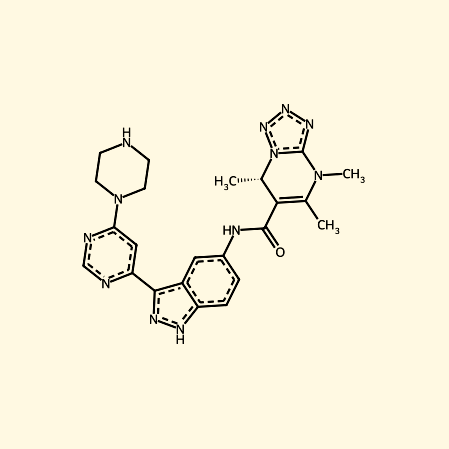 CC1=C(C(=O)Nc2ccc3[nH]nc(-c4cc(N5CCNCC5)ncn4)c3c2)[C@H](C)n2nnnc2N1C